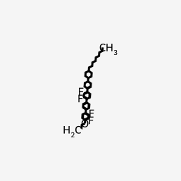 C=CCOc1ccc(-c2ccc(-c3ccc(C4=CCC(C5CCC(CCCCCCCCC)CC5)CC4)c(F)c3F)cc2)c(F)c1F